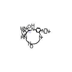 CN1CCN(c2ccc3cc2CN(C)CCCCC(=O)N(C)CCNc2ncnc4c2/C(=C/N3)C(=O)N4)CC1